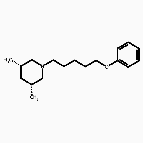 C[C@@H]1C[C@H](C)CN(CCCCCOc2ccccc2)C1